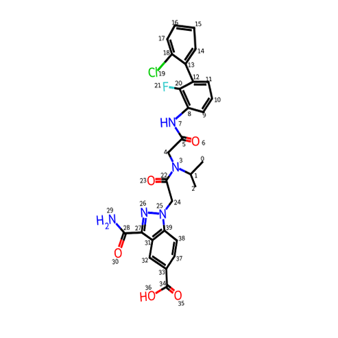 CC(C)N(CC(=O)Nc1cccc(-c2ccccc2Cl)c1F)C(=O)Cn1nc(C(N)=O)c2cc(C(=O)O)ccc21